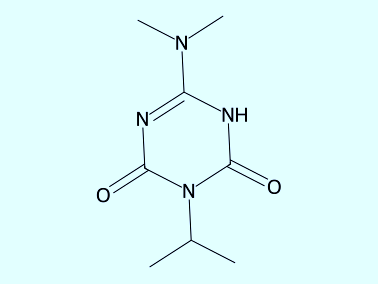 CC(C)n1c(=O)nc(N(C)C)[nH]c1=O